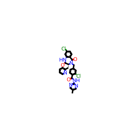 Cc1cnc(NC(=O)c2ccc(CN3C(=O)c4ccc(Cl)cc4NC(=O)[C@H]3Cc3ccccn3)cc2Cl)nc1